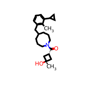 Cc1c(CC2CCCN(C(=O)[C@H]3C[C@@](C)(O)C3)CCC2)cccc1C1CC1